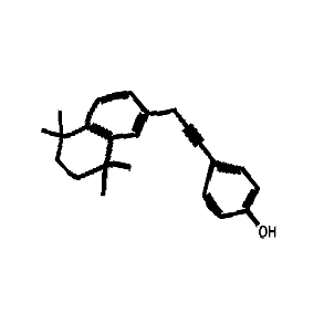 CC1(C)CCC(C)(C)c2cc(CC#Cc3ccc(O)cc3)ccc21